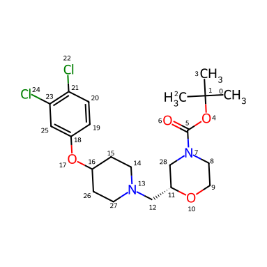 CC(C)(C)OC(=O)N1CCO[C@H](CN2CCC(Oc3ccc(Cl)c(Cl)c3)CC2)C1